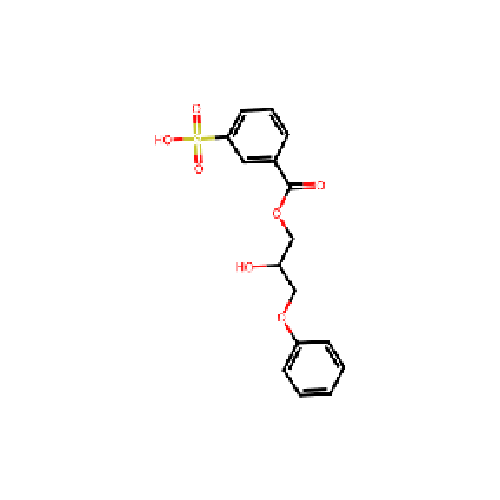 O=C(OCC(O)COc1ccccc1)c1cccc(S(=O)(=O)O)c1